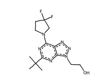 CC(C)(C)c1nc(N2CCC(F)(F)C2)c2nnn(CCO)c2n1